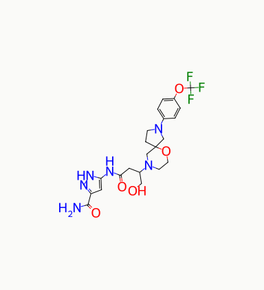 NC(=O)c1cc(NC(=O)CC(CO)N2CCOC3(CCN(c4ccc(OC(F)(F)F)cc4)C3)C2)[nH]n1